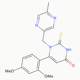 COc1ccc(-c2cc(=O)[nH]c(=S)n2Cc2cnc(C)cn2)c(OC)c1